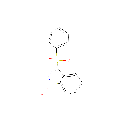 O=S(=O)(c1ccccc1)c1n[s+]([O-])c2ccccc12